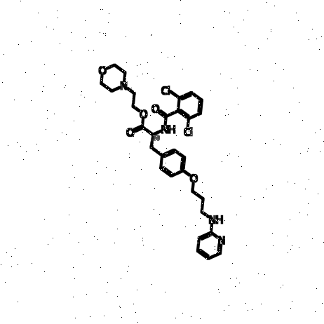 O=C(N[C@@H](Cc1ccc(OCCCNc2ccccn2)cc1)C(=O)OCCN1CCOCC1)c1c(Cl)cccc1Cl